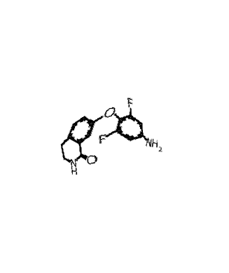 Nc1cc(F)c(Oc2ccc3c(c2)C(=O)NCC3)c(F)c1